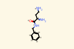 NCCC(N)C(=O)NCc1ccccc1